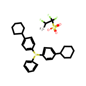 O=S(=O)([O-])C(F)(F)C(F)C(F)(F)F.c1ccc([S+](c2ccc(C3CCCCC3)cc2)c2ccc(C3CCCCC3)cc2)cc1